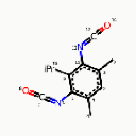 Cc1cc(C)c(N=C=O)c(C(C)C)c1N=C=O